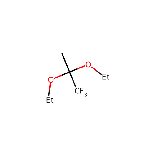 CCOC(C)(OCC)C(F)(F)F